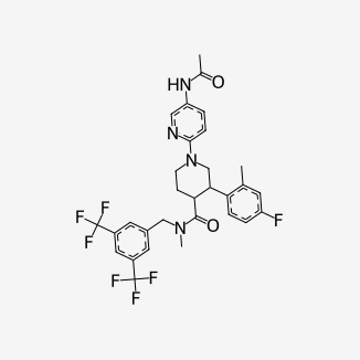 CC(=O)Nc1ccc(N2CCC(C(=O)N(C)Cc3cc(C(F)(F)F)cc(C(F)(F)F)c3)C(c3ccc(F)cc3C)C2)nc1